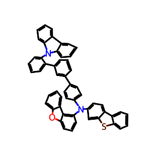 c1cc(-c2ccc(N(c3ccc4c(c3)sc3ccccc34)c3cccc4oc5ccccc5c34)cc2)cc(-c2ccccc2-n2c3ccccc3c3ccccc32)c1